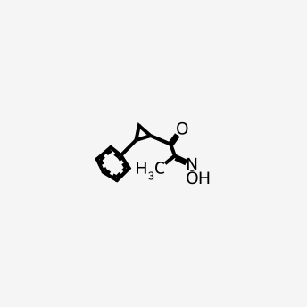 C/C(=N\O)C(=O)C1CC1c1ccccc1